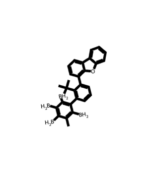 Bc1c(B)c(C)c(B)c(-c2cccc(-c3cccc4c3oc3ccccc34)c2C(C)(C)C)c1B